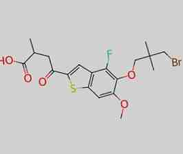 COc1cc2sc(C(=O)CC(C)C(=O)O)cc2c(F)c1OCC(C)(C)CBr